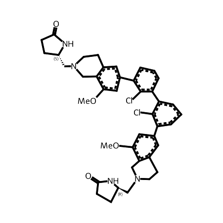 COc1cc(-c2cccc(-c3cccc(-c4cc5c(c(OC)c4)CN(C[C@@H]4CCC(=O)N4)CC5)c3Cl)c2Cl)cc2c1CN(C[C@H]1CCC(=O)N1)CC2